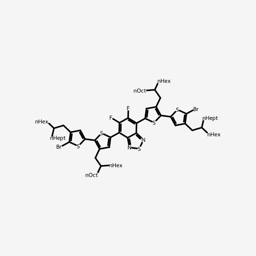 CCCCCCCCC(CCCCCC)Cc1cc(-c2c(F)c(F)c(-c3cc(CC(CCCCCC)CCCCCCCC)c(-c4cc(CC(CCCCCC)CCCCCCC)c(Br)s4)s3)c3nsnc23)sc1-c1cc(CC(CCCCCC)CCCCCCC)c(Br)s1